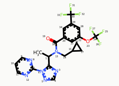 CC(c1ncnn1-c1ncccn1)N(CC1CC1)C(=O)c1cc(OC(F)(F)F)cc(C(F)(F)F)c1